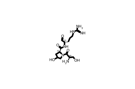 N=C(N)NCCC[C@@H](C=O)NC(=O)[C@@H]1CC(O)CN1C(=O)[C@H](N)CO